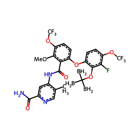 BC(B)(B)Oc1c(Oc2ccc(OC(F)(F)F)c(OC)c2C(=O)Nc2cc(C(N)=O)ncc2C)ccc(OC(F)(F)F)c1F